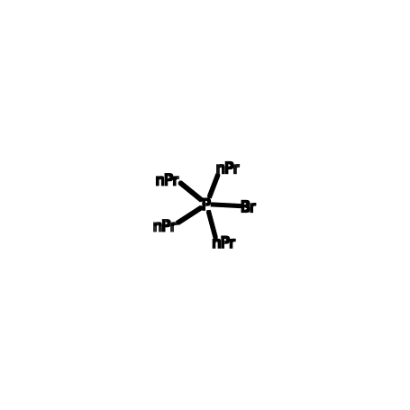 CCCP(Br)(CCC)(CCC)CCC